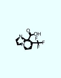 O=C(O)c1c(C(F)(F)F)ccn2ccnc12